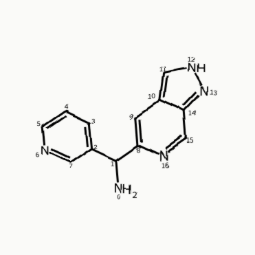 NC(c1cccnc1)c1cc2c[nH]nc2cn1